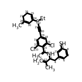 C=C(NC(Cc1cccc(S)c1)C(=C)C)c1c(Cl)cc(C#CP(CC)C2=CCCC(C)=C2)cc1Cl